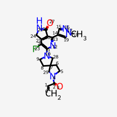 C=CC(=O)N1CCC2(CCN(c3nc(-c4cnn(C)c4)c4c(c3F)CNC4=O)C2)C1